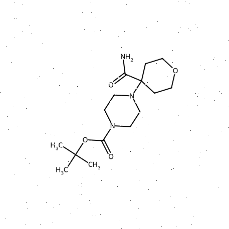 CC(C)(C)OC(=O)N1CCN(C2(C(N)=O)CCOCC2)CC1